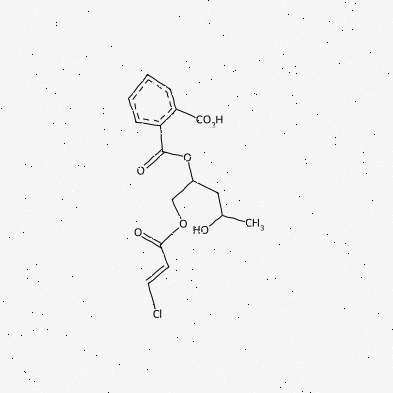 CC(O)CC(COC(=O)C=CCl)OC(=O)c1ccccc1C(=O)O